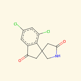 O=C1CC2(CN1)CC(=O)c1cc(Cl)cc(Cl)c12